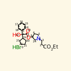 Br.CCOC(=O)CCN1CC[C@@H](OC(=O)C(O)(c2ccccc2)C2CCCC2)C1